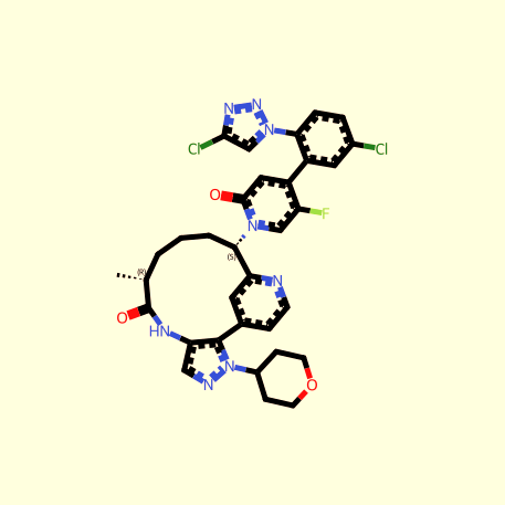 C[C@@H]1CCC[C@H](n2cc(F)c(-c3cc(Cl)ccc3-n3cc(Cl)nn3)cc2=O)c2cc(ccn2)-c2c(cnn2C2CCOCC2)NC1=O